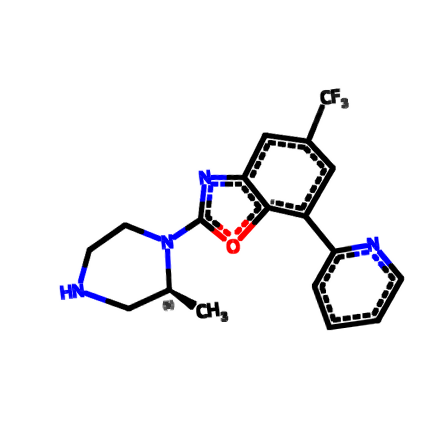 C[C@H]1CNCCN1c1nc2cc(C(F)(F)F)cc(-c3ccccn3)c2o1